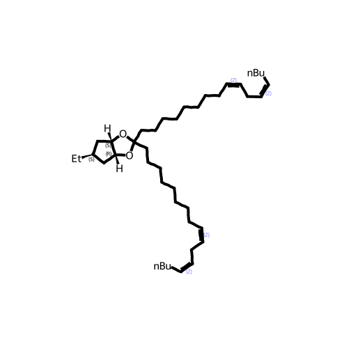 CCCC/C=C\C/C=C\CCCCCCCCC1(CCCCCCCC/C=C\C/C=C\CCCC)O[C@H]2C[C@H](CC)C[C@H]2O1